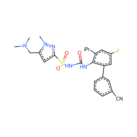 CC(C)c1cc(F)cc(-c2cccc(C#N)c2)c1NC(=O)NS(=O)(=O)c1cc(CN(C)C)n(C)n1